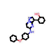 Oc1ccccc1-c1cnn2ccc(Nc3ccc(Oc4ccccc4)cc3)nc12